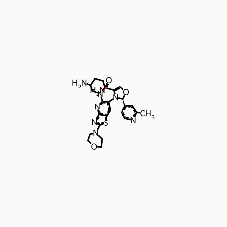 Cc1cc([C@@H]2OC=C(C(N)=O)N2c2cc3sc(N4CCOCC4)nc3nc2N2CCCC(N)C2)ccn1